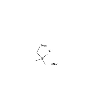 CCCCCCCCCC[N+](C)(C)CCCCCCCCCC.[Cl+]